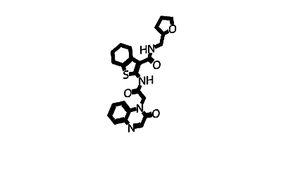 O=C(Cn1c(=O)cnc2ccccc21)Nc1sc2c(c1C(=O)NCC1CCCO1)CCCC2